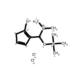 C[SiH](C)C(O[Si](C)(C)C)C1=[C]([Ti+2])CC=C1.[Cl-].[Cl-]